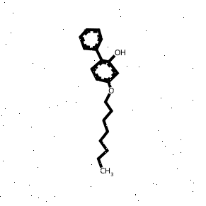 CCCCCCCCOc1ccc(-c2cc[c]cc2)c(O)c1